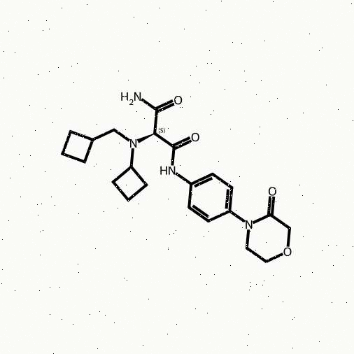 NC(=O)[C@@H](C(=O)Nc1ccc(N2CCOCC2=O)cc1)N(CC1CCC1)C1CCC1